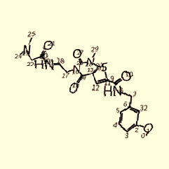 COc1cccc(CNC(=O)c2cc3c(=O)n(CCNC(=O)CN(C)C)c(=O)n(C)c3s2)c1